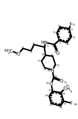 COCCCC(NC(=O)c1ccc(F)cc1)C1CCN(C(=O)Oc2cccc(F)c2C)CC1